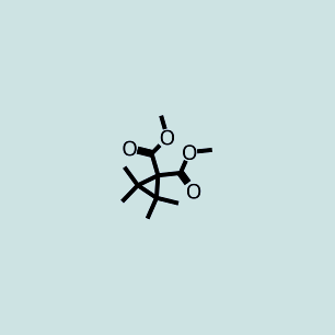 COC(=O)C1(C(=O)OC)C(C)(C)C1(C)C